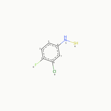 Fc1ccc(NS)cc1Cl